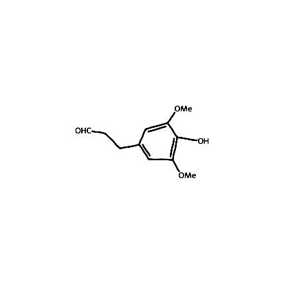 COc1cc(CCC=O)cc(OC)c1O